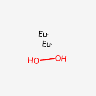 OO.[Eu].[Eu]